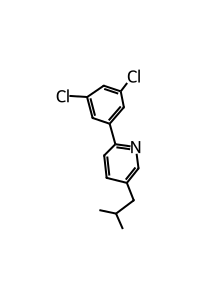 CC(C)Cc1ccc(-c2cc(Cl)cc(Cl)c2)nc1